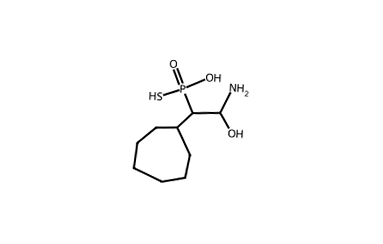 NC(O)C(C1CCCCCC1)P(=O)(O)S